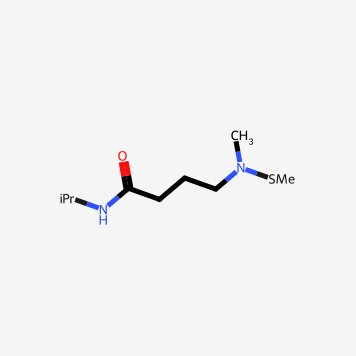 CSN(C)CCCC(=O)NC(C)C